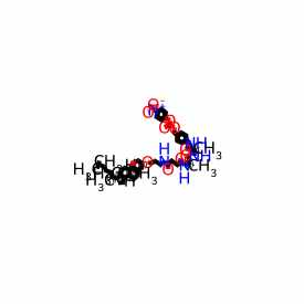 CC(C)CCC[C@@H](C)[C@H]1CCC2[C@@H]3CC=C4C[C@@H](OCCCNC(=O)CCC(=O)N[C@@H](C)C(=O)N[C@@H](C)C(=O)Nc5ccc(COC(=O)Oc6ccc([N+](=O)[O-])cc6)cc5)CC[C@]4(C)[C@H]3CC[C@@]21C